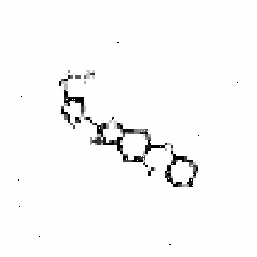 O=C(O)Oc1cnn(-c2nc3cc(Oc4ccccc4)c(Cl)cc3[nH]2)c1